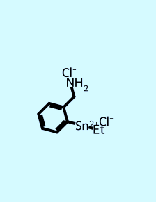 C[CH2][Sn+2][c]1ccccc1CN.[Cl-].[Cl-]